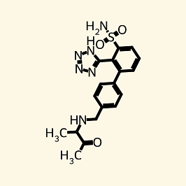 CC(=O)C(C)NCc1ccc(-c2cccc(S(N)(=O)=O)c2-c2nnn[nH]2)cc1